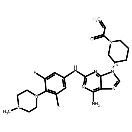 C=CC(=O)N1CCC[C@H](n2cnc3c(N)nc(Nc4cc(F)c(N5CCN(C)CC5)c(F)c4)nc32)C1